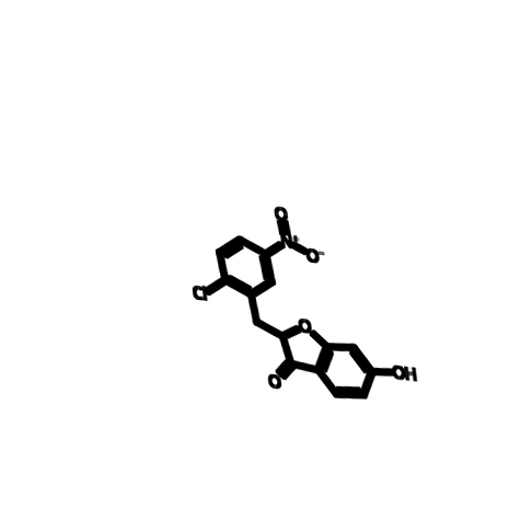 O=C1c2ccc(O)cc2OC1Cc1cc([N+](=O)[O-])ccc1Cl